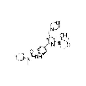 C[C@H]1COCCN1c1cc(CN2CCOCC2)nc(-c2ccc(NC(=O)Nc3ccccc3)cc2)n1